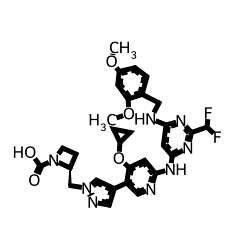 COc1ccc(CNc2cc(Nc3cc(OC4CC4)c(-c4cnn(C[C@@H]5CCN5C(=O)O)c4)cn3)nc(C(F)F)n2)c(OC)c1